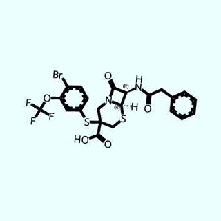 O=C(Cc1ccccc1)N[C@@H]1C(=O)N2CC(Sc3ccc(Br)c(OC(F)(F)F)c3)(C(=O)O)CS[C@H]12